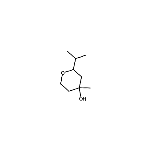 CC(C)C1CC(C)(O)CCO1